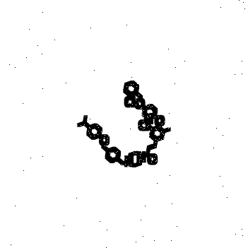 Cc1cc(/C=C/C(=O)N2CCN(Cc3ccc(COc4ccc(C(C)C)cc4)cc3)CC2)cc(Cl)c1Oc1ccc(OCc2ccccc2Cl)cn1